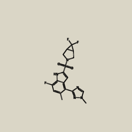 Cc1cc(F)c2[nH]c(S(=O)(=O)N3CC4C(C3)C4(F)F)cc2c1-c1ncn(C)n1